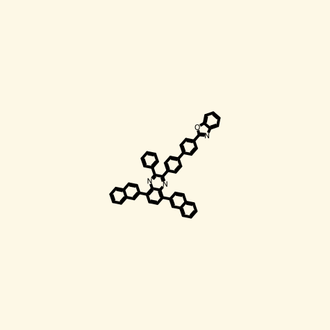 c1ccc(-c2nc3c(-c4ccc5ccccc5c4)ccc(-c4ccc5ccccc5c4)c3nc2-c2ccc(-c3ccc(-c4nc5ccccc5o4)cc3)cc2)cc1